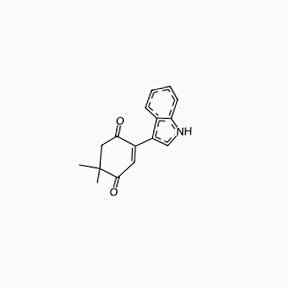 CC1(C)CC(=O)C(c2c[nH]c3ccccc23)=CC1=O